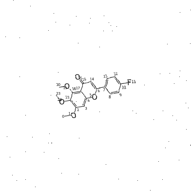 COc1cc2oc(-c3ccc(F)cc3)cc(=O)c2c(OC)c1OC